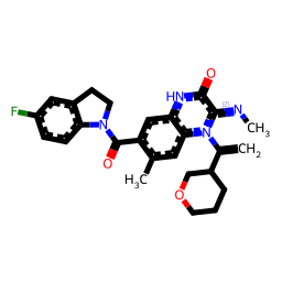 C=C(C1CCCOC1)n1/c(=N\C)c(=O)[nH]c2cc(C(=O)N3CCc4cc(F)ccc43)c(C)cc21